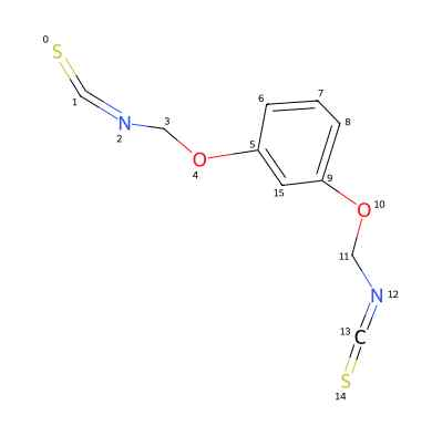 S=C=NCOc1cccc(OCN=C=S)c1